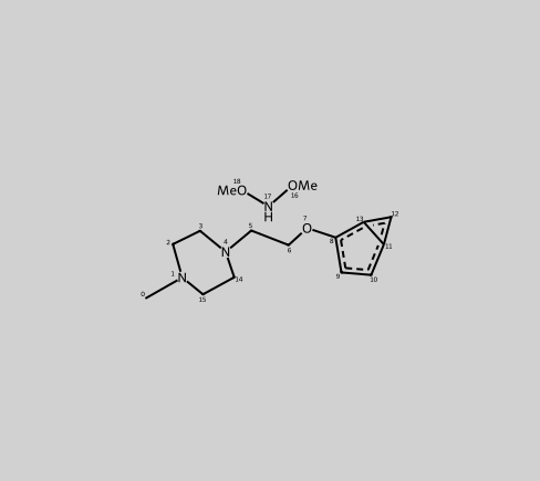 CN1CCN(CCOc2ccc3cc2-3)CC1.CONOC